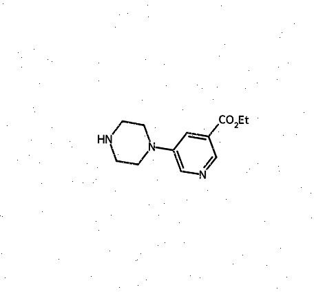 CCOC(=O)c1cncc(N2CCNCC2)c1